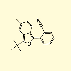 Cc1ccc2c(-c3ccccc3C#N)oc(C(C)(C)C)c2c1